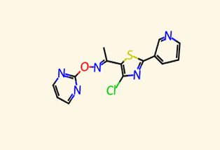 C/C(=N\Oc1ncccn1)c1sc(-c2cccnc2)nc1Cl